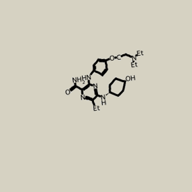 CCc1nc(C(N)=O)c(Nc2ccc(OCCN(CC)CC)cc2)nc1N[C@H]1CC[C@H](O)CC1